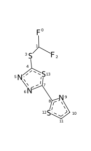 FC(F)Sc1nnc(-c2nccs2)s1